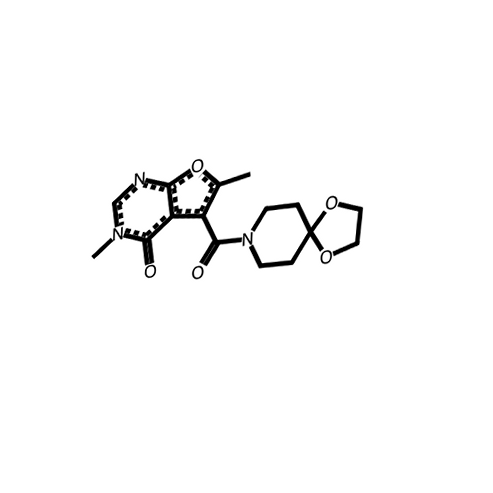 Cc1oc2ncn(C)c(=O)c2c1C(=O)N1CCC2(CC1)OCCO2